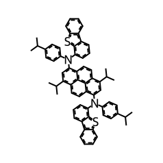 CC(C)c1ccc(N(c2cc(C(C)C)c3ccc4c(N(c5ccc(C(C)C)cc5)c5cccc6c5sc5ccccc56)cc(C(C)C)c5ccc2c3c54)c2cccc3c2sc2ccccc23)cc1